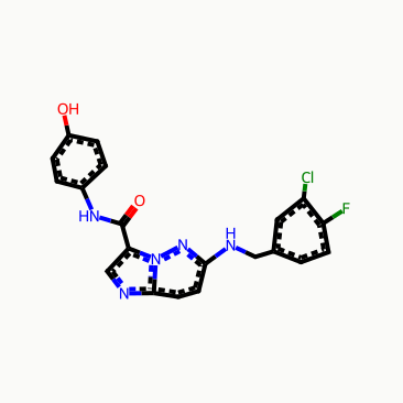 O=C(Nc1ccc(O)cc1)c1cnc2ccc(NCc3ccc(F)c(Cl)c3)nn12